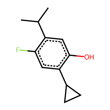 CC(C)c1cc(O)c(C2CC2)cc1F